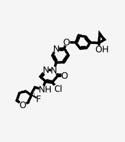 O=c1c(Cl)c(NC[C@@]2(F)CCCOC2)cnn1-c1ccc(Oc2ccc(C3(O)CC3)cc2)nc1